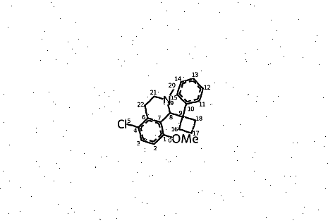 COc1ccc(Cl)c2c1C(C1(c3ccccc3)CCC1)N(C)CC2